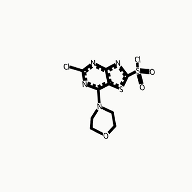 O=S(=O)(Cl)c1nc2nc(Cl)nc(N3CCOCC3)c2s1